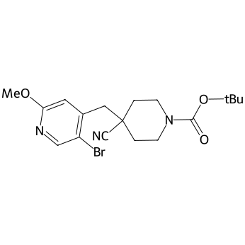 COc1cc(CC2(C#N)CCN(C(=O)OC(C)(C)C)CC2)c(Br)cn1